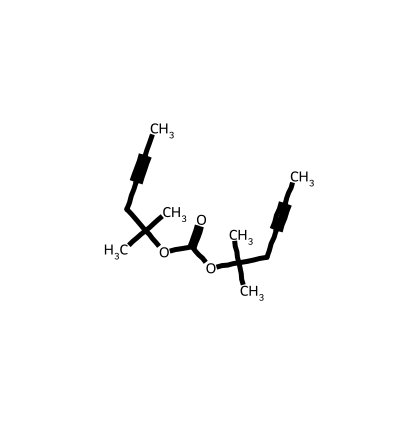 CC#CCC(C)(C)OC(=O)OC(C)(C)CC#CC